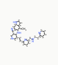 Cc1c(Nc2c(C#N)cncc2C=Cc2cccc(CNCCc3ccccn3)n2)ccc2[nH]ccc12